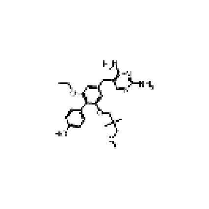 CCOc1cc(Cc2cnc(N)nc2N)cc(OCC(C)(C)COC)c1-c1ccc(O)cc1